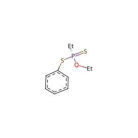 CCO[P@@](=S)(CC)Sc1ccccc1